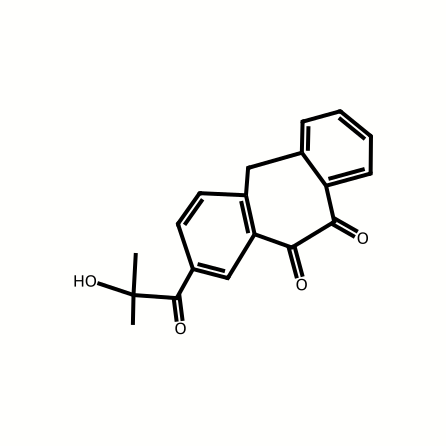 CC(C)(O)C(=O)c1ccc2c(c1)C(=O)C(=O)c1ccccc1C2